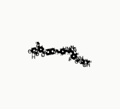 CCOc1ccc(C(=O)N2CCC3(CCN(CCc4ccc(-c5cc6c(-c7cc(F)cc(NC(=O)N8C[C@H](CC(C)C)[C@@H](O)C8)c7C)ncnc6[nH]5)cc4)CC3)CC2)cc1N1CCC(=O)NC1=O